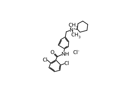 C[N+](C)(Cc1ccc(NC(=O)c2c(Cl)cccc2Cl)cc1)C1CCCCC1.[Cl-]